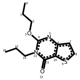 CCCOc1nc2ccsc2c(=O)n1CCC